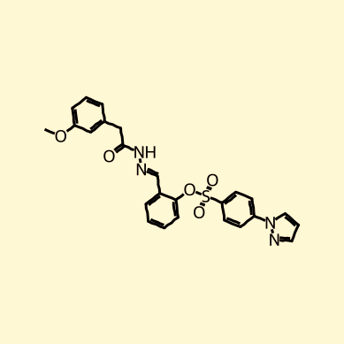 COc1cccc(CC(=O)NN=Cc2ccccc2OS(=O)(=O)c2ccc(-n3cccn3)cc2)c1